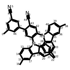 Cc1cc(C#N)cc(-c2cc(-n3c4ccc(C)cc4c4cc(C)ccc43)c(-n3c4ccc(C)cc4c4cc(C)ccc43)cc2C#N)c1